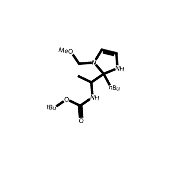 CCCCC1(C(C)NC(=O)OC(C)(C)C)NC=CN1COC